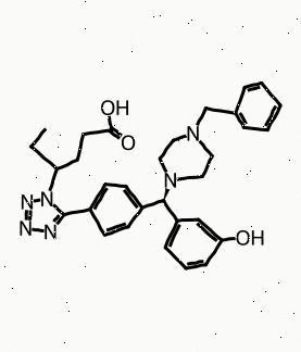 CCC(CCC(=O)O)n1nnnc1-c1ccc([C@H](c2cccc(O)c2)N2CCN(Cc3ccccc3)CC2)cc1